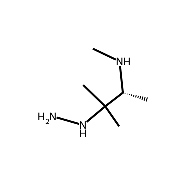 CN[C@H](C)C(C)(C)NN